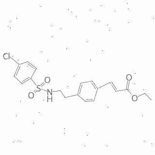 CCOC(=O)/C=C/c1ccc(CCNS(=O)(=O)c2ccc(Cl)cc2)cc1